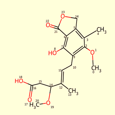 COc1c(C)c2c(c(O)c1C/C=C(\C)C(CC(=O)O)OC)C(=O)OC2